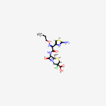 CCCON=C(C(=O)NC1C(=O)N2CC(Cl)(C(=O)O)CS[C@H]12)c1csc(N)n1